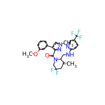 COc1cccc(-c2cn(C)nc2C(=O)N2CC(F)(F)C[C@@H](C)C2CNc2ccc(C(F)(F)F)cn2)c1